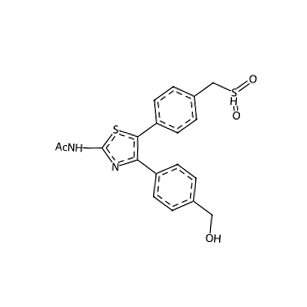 CC(=O)Nc1nc(-c2ccc(CO)cc2)c(-c2ccc(C[SH](=O)=O)cc2)s1